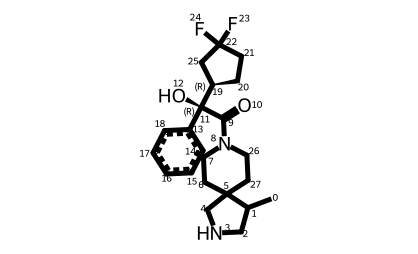 CC1CNCC12CCN(C(=O)[C@](O)(c1ccccc1)[C@@H]1CCC(F)(F)C1)CC2